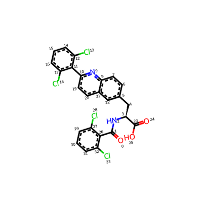 O=C(N[C@@H](Cc1ccc2nc(-c3c(Cl)cccc3Cl)ccc2c1)C(=O)O)c1c(Cl)cccc1Cl